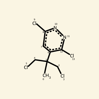 CC(CCl)(CCl)c1cc(Cl)nnc1Cl